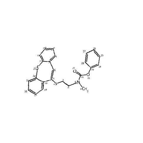 CN(CCSC1=Cc2ccccc2Sc2ccccc21)C(=O)Oc1ccccc1